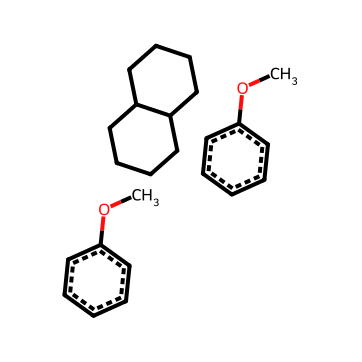 C1CCC2CCCCC2C1.COc1ccccc1.COc1ccccc1